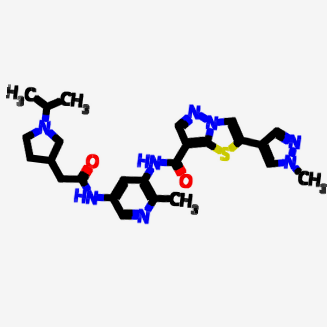 Cc1ncc(NC(=O)CC2CCN(C(C)C)C2)cc1NC(=O)c1cnn2cc(-c3cnn(C)c3)sc12